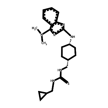 CN(C)c1nc(N[C@H]2CC[C@@H](CNC(=S)NCC3CC3)CC2)nc2ccccc12